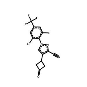 N#Cc1nn(-c2c(Cl)cc(C(F)(F)F)cc2Cl)cc1C1CC(=O)C1